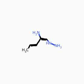 C/C=C/C(N)=C\NN